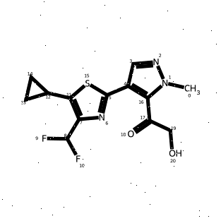 Cn1ncc(-c2nc(C(F)F)c(C3CC3)s2)c1C(=O)CO